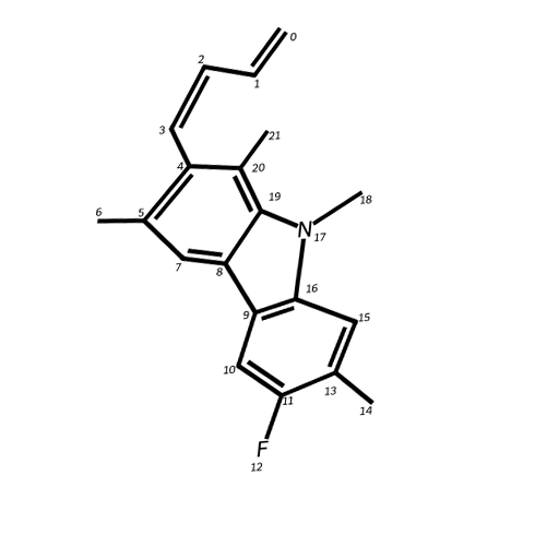 C=C/C=C\c1c(C)cc2c3cc(F)c(C)cc3n(C)c2c1C